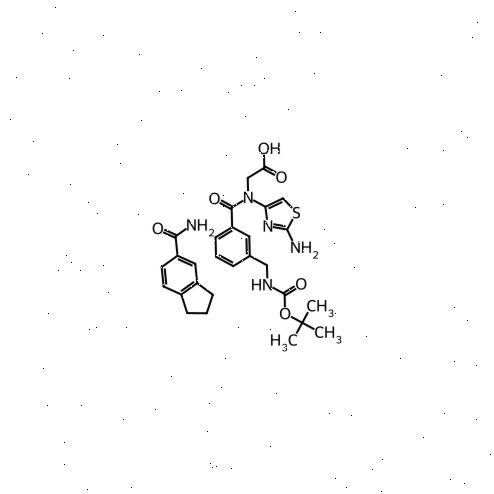 CC(C)(C)OC(=O)NCc1cccc(C(=O)N(CC(=O)O)c2csc(N)n2)c1.NC(=O)c1ccc2c(c1)CCC2